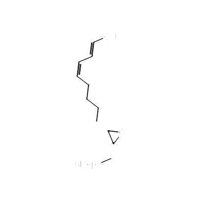 CCCCCCCC[C@H]1O[C@H]1CCCC/C=C\C=C\O